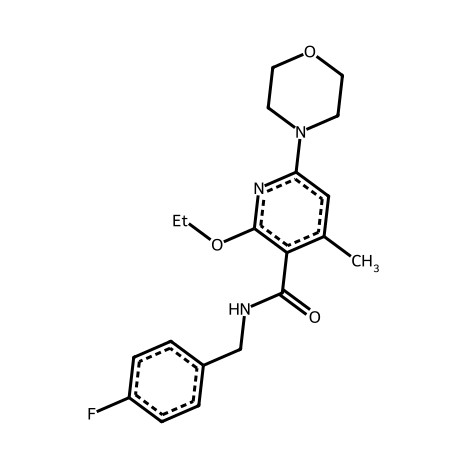 CCOc1nc(N2CCOCC2)cc(C)c1C(=O)NCc1ccc(F)cc1